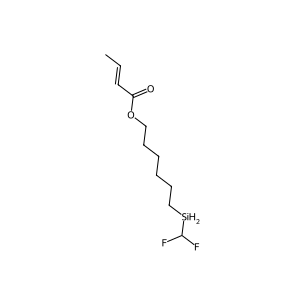 CC=CC(=O)OCCCCCC[SiH2]C(F)F